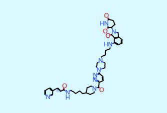 O=C(/C=C/c1cccnc1)NCCCCC1CCN(C(=O)c2ccc(N3CCN(CCCCNc4cccc5c4C(=O)N(C4CCC(=O)NC4=O)C5)CC3)nn2)CC1